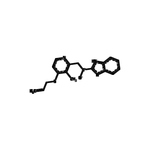 C=CCSc1ccnc(C[S+]([O-])c2nc3ccccc3[nH]2)c1C